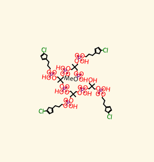 COP(=O)(O)OCC(C)(COP(=O)(O)OCCCC1=CC=C(Cl)C1)COP(=O)(O)OCC(C)(COP(=O)(O)OCCCC1=CC=C(Cl)C1)COP(=O)(O)OCC(C)(COP(=O)(O)OCCCC1=CC=C(Cl)C1)COP(=O)(O)OCC(C)(CO)COP(=O)(O)OCCCC1=CC=C(Cl)C1